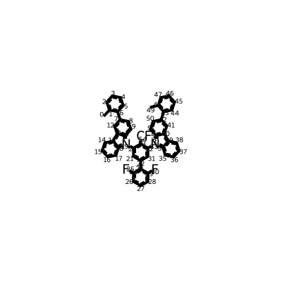 Cc1ccccc1-c1ccc2c(c1)c1ccccc1n2-c1cc(-c2c(F)cccc2F)cc(-n2c3ccccc3c3cc(-c4ccccc4C)ccc32)c1C(F)(F)F